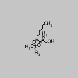 CCCCCC[C@H]1OC(C)(C)O[C@H]1[C@@H](N)CO